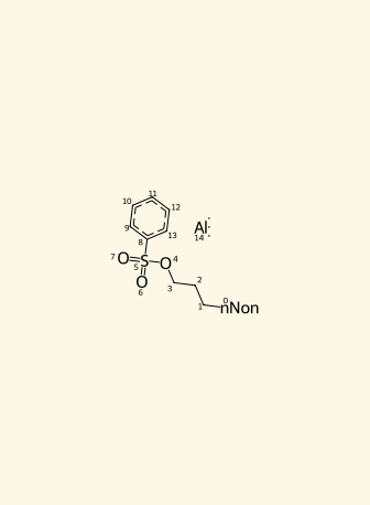 CCCCCCCCCCCCOS(=O)(=O)c1ccccc1.[Al]